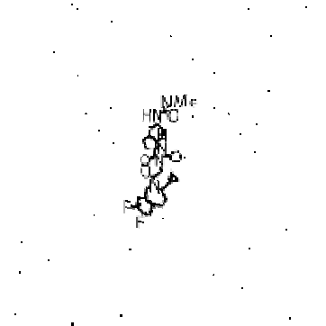 CNC(=O)Nc1ccc2c(c1)CC[C@@]21NC(=O)N(CC(=O)N2Cc3cc(F)c(F)cc3CCC2C2CC2)C1=O